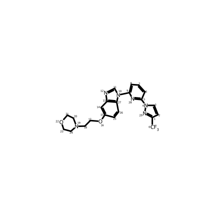 FC(F)(F)c1ccn(-c2[c]ccc(-n3cnc4cc(OCCN5CCOCC5)ccc43)n2)n1